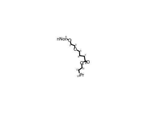 CCCCCCCCCOCCOCCCC(=O)OCCC(C)C